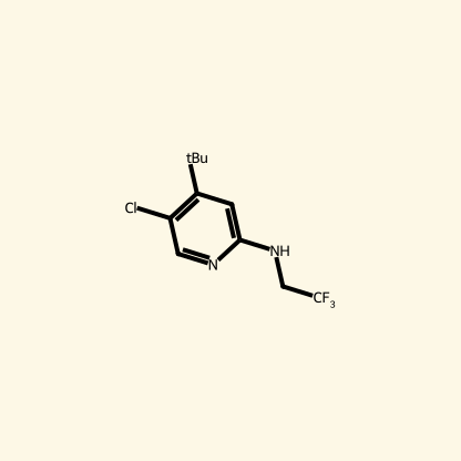 CC(C)(C)c1cc(NCC(F)(F)F)ncc1Cl